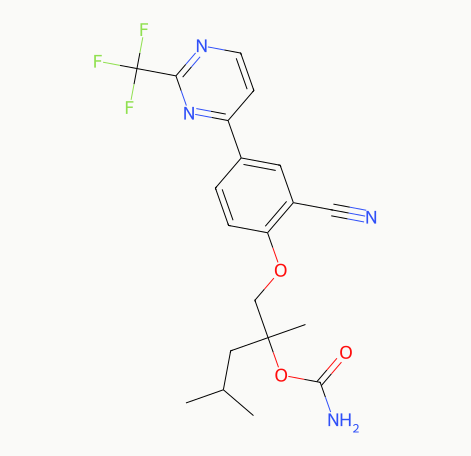 CC(C)CC(C)(COc1ccc(-c2ccnc(C(F)(F)F)n2)cc1C#N)OC(N)=O